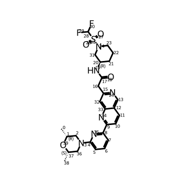 C[C@@H]1CN(c2cccc(-c3ccc4cnc(CC(=O)N[C@@H]5CCCN(S(=O)(=O)C(F)F)C5)cc4n3)n2)C[C@H](C)O1